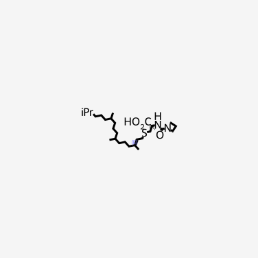 C/C(=C\CSC[C@H](NC(=O)N1CCC1)C(=O)O)CCCC(C)CCCC(C)CCCC(C)C